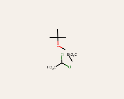 CCOC(C)=O.COC(C)(C)C.O=C(O)C(Cl)Cl